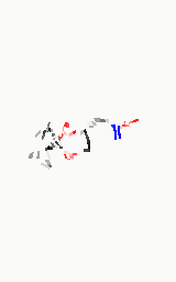 CC1(C)OCC(CNO)O1